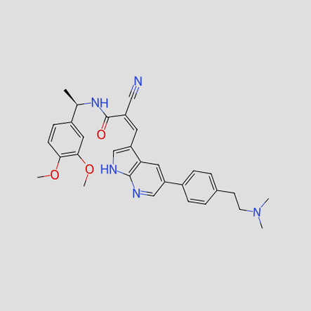 COc1ccc([C@@H](C)NC(=O)/C(C#N)=C\c2c[nH]c3ncc(-c4ccc(CCN(C)C)cc4)cc23)cc1OC